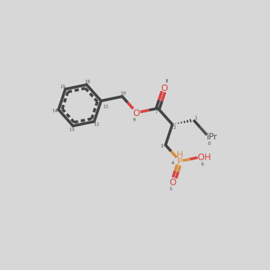 CC(C)C[C@H](C[PH](=O)O)C(=O)OCc1ccccc1